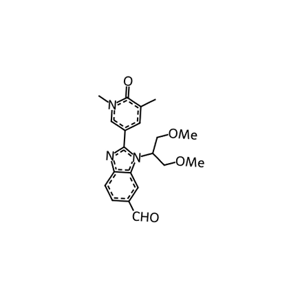 COCC(COC)n1c(-c2cc(C)c(=O)n(C)c2)nc2ccc(C=O)cc21